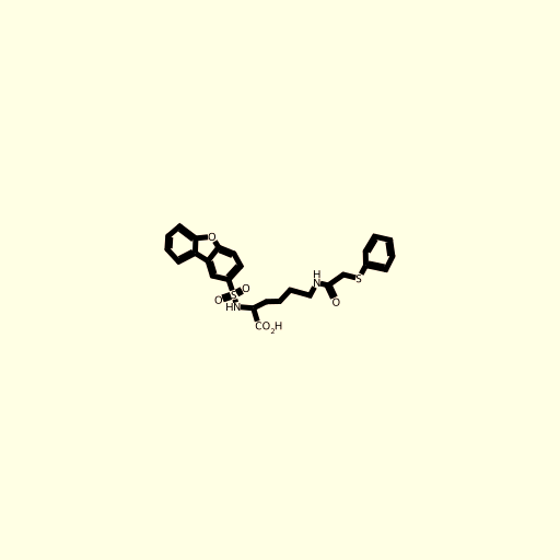 O=C(CSc1ccccc1)NCCCCC(NS(=O)(=O)c1ccc2oc3ccccc3c2c1)C(=O)O